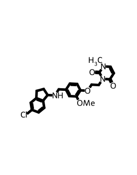 COc1cc(CNC2CCc3cc(Cl)ccc32)ccc1OCCn1c(=O)ccn(C)c1=O